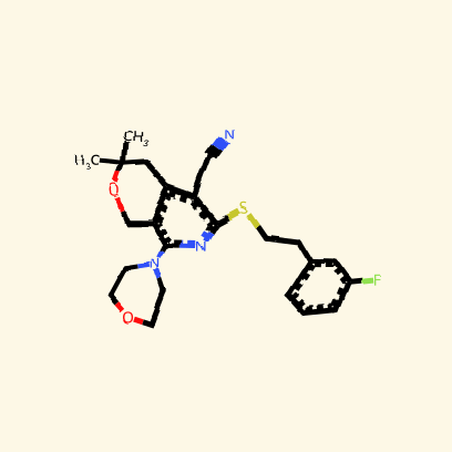 CC1(C)Cc2c(C#N)c(SCCc3cccc(F)c3)nc(N3CCOCC3)c2CO1